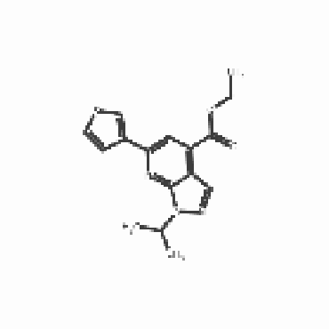 CCOC(=O)c1cc(-c2ccsc2)nc2c1cnn2C(C)C